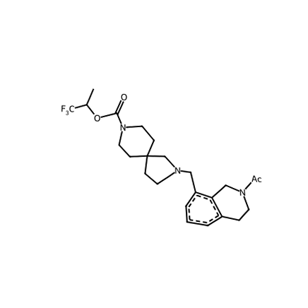 CC(=O)N1CCc2cccc(CN3CCC4(CCN(C(=O)OC(C)C(F)(F)F)CC4)C3)c2C1